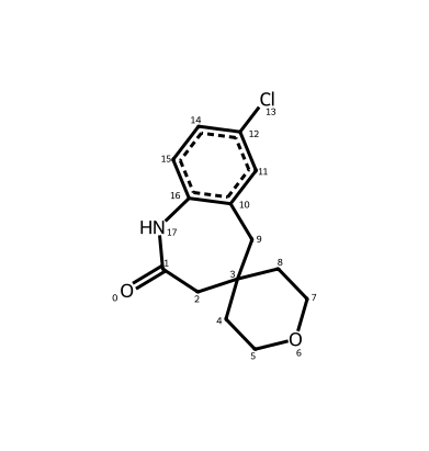 O=C1CC2(CCOCC2)Cc2cc(Cl)ccc2N1